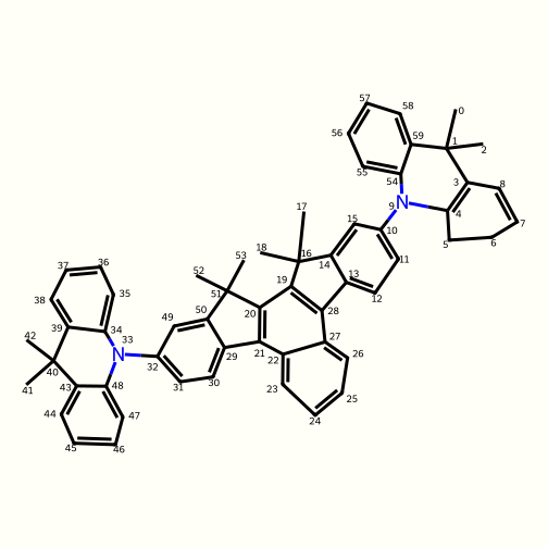 CC1(C)C2=C(CCC=C2)N(c2ccc3c(c2)C(C)(C)c2c4c(c5ccccc5c2-3)-c2ccc(N3c5ccccc5C(C)(C)c5ccccc53)cc2C4(C)C)c2ccccc21